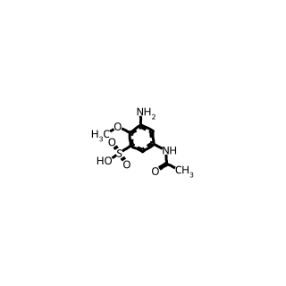 COc1c(N)cc(NC(C)=O)cc1S(=O)(=O)O